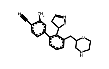 Cc1cc(-c2cccc(CC3CNCCO3)c2C2CC=NS2)ccc1C#N